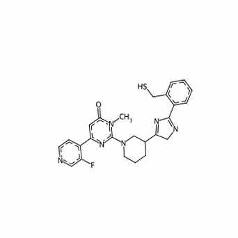 Cn1c(N2CCCC(C3=NC(c4ccccc4CS)=NC3)C2)nc(-c2ccncc2F)cc1=O